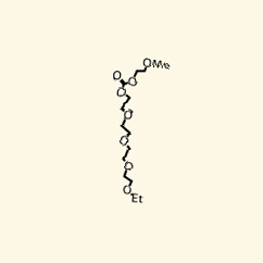 CCOCCOCCOCCOCCOC(=O)OCCOC